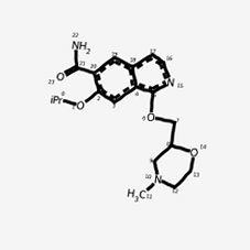 CC(C)Oc1cc2c(OCC3CN(C)CCO3)nccc2cc1C(N)=O